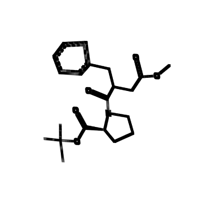 COC(=O)CC(Cc1ccccc1)C(=O)N1CCC[C@H]1C(=O)OC(C)(C)C